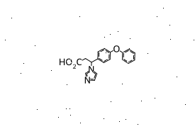 O=C(O)CC(c1ccc(Oc2ccccc2)cc1)n1ccnc1